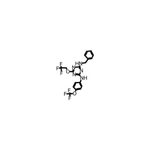 FC(F)(F)COc1nc(NCc2ccccc2)nc(Nc2ccc(OC(F)(F)F)cc2)n1